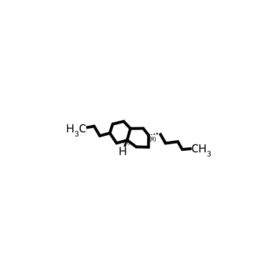 CCCCC[C@@H]1CC[C@@H]2CC(CCC)CCC2C1